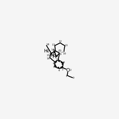 CCOc1ccc2c(c1)[C@]13CCCC[C@@H]1[C@H](C2)N(C)CC3